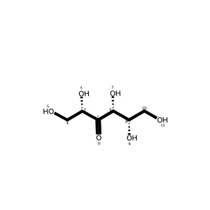 O=C([C@@H](O)CO)[C@H](O)[C@@H](O)CO